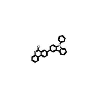 Clc1nc2ccccc2c2ccc(-c3ccc4c(c3)c3ccccc3n4-c3ccccc3)cc12